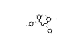 CC(C)(C)C1=CC(=C(/N=N/c2ccc([N+](=O)[O-])cc2)c2ccc(C(/N=N/c3ccc([N+](=O)[O-])cc3)=C3C=C(C(C)(C)C)C(=O)C(C(C)(C)C)=C3)s2)C=C(C(C)(C)C)C1=O